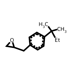 CCC(C)(C)c1ccc(CC2CO2)cc1